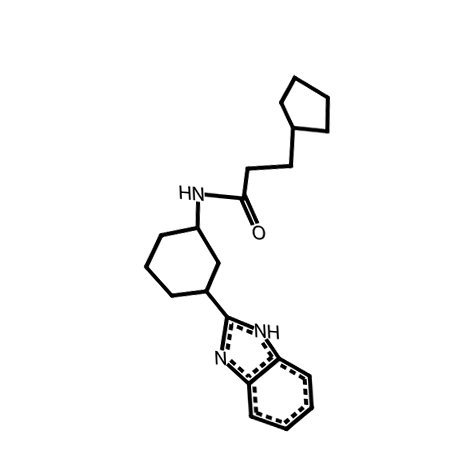 O=C(CCC1CCCC1)NC1CCCC(c2nc3ccccc3[nH]2)C1